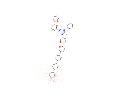 Bc1c(B)c(B)c(-c2ccc(-c3ccc(-c4ccc5c(c4)oc4cc(-c6nc(-c7ccccc7)nc(-c7cccc8c7oc7ccccc78)n6)ccc45)cc3)cc2)c(B)c1B